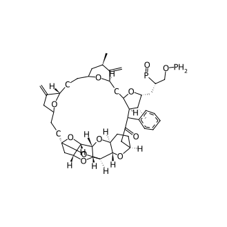 C=C1CC2CC[C@@]34C[C@H]5O[C@H]6[C@@H](O3)[C@H]3O[C@H](CC[C@@H]3O[C@H]6[C@H]5O4)CC(=O)C(c3ccccc3)[C@H]3C(C[C@H]4OC(CC[C@@H]1O2)C[C@@H](C)C4=C)O[C@H](C[C@@H](COP)P=O)[C@@H]3C